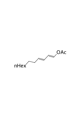 CCCCCCCCC=CC=COC(C)=O